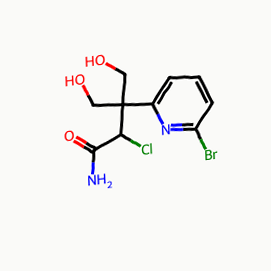 NC(=O)C(Cl)C(CO)(CO)c1cccc(Br)n1